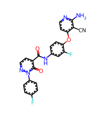 N#Cc1c(Oc2ccc(NC(=O)c3ccnn(-c4ccc(F)cc4)c3=O)cc2F)ccnc1N